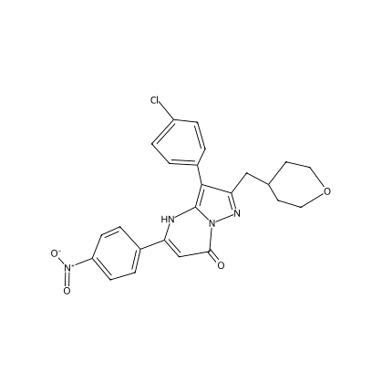 O=c1cc(-c2ccc([N+](=O)[O-])cc2)[nH]c2c(-c3ccc(Cl)cc3)c(CC3CCOCC3)nn12